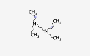 CC/C=C\CN(CCCC)CCCCN(C/C=C\CC)CCCC